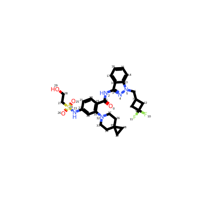 O=C(Nc1nn(CC2CC(F)(F)C2)c2ccccc12)c1ccc(NS(=O)(=O)CCO)cc1N1CCC2(CC1)CC2